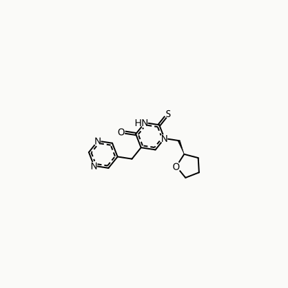 O=c1[nH]c(=S)n(C[C@H]2CCCO2)cc1Cc1cncnc1